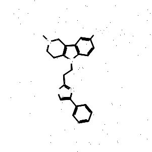 COc1ccc2c(c1)c1c(n2CCc2nc(-c3ccccc3)cs2)CCN(C)C1